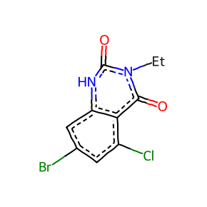 CCn1c(=O)[nH]c2cc(Br)cc(Cl)c2c1=O